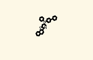 c1ccc(-c2ccc(N(c3ccccc3)c3cnc4c(c3)sc3c5ccccc5ccc43)cc2)cc1